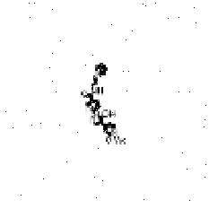 COc1cc(-c2cnn(-c3ccc(C(=O)NCCCN4CCCC4)cn3)c2O)ccn1